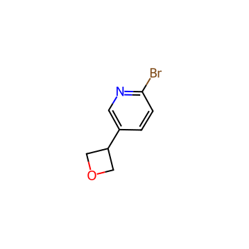 Brc1ccc(C2COC2)cn1